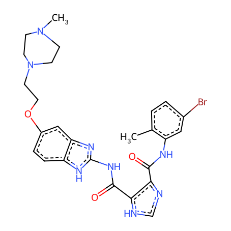 Cc1ccc(Br)cc1NC(=O)c1nc[nH]c1C(=O)Nc1nc2cc(OCCN3CCN(C)CC3)ccc2[nH]1